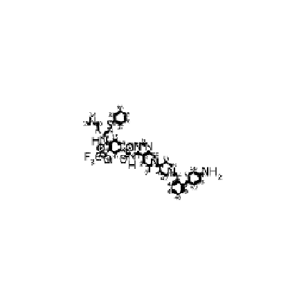 C[C@H]1Cc2c(ncnc2NS(=O)(=O)c2ccc(N[C@H](CCN(C)C)CSc3ccccc3)c(S(=O)(=O)C(F)(F)F)c2)CN1C1CCN(Cc2ccccc2-c2ccc(N)cc2)CC1